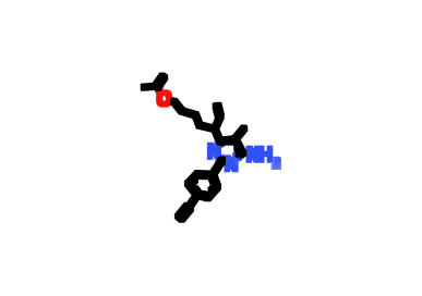 C#Cc1ccc(-c2nc(N)c(C)c(C(C=C)CCCCOC(=C)C)n2)cc1